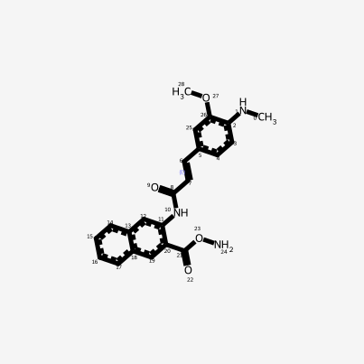 CNc1ccc(/C=C/C(=O)Nc2cc3ccccc3cc2C(=O)ON)cc1OC